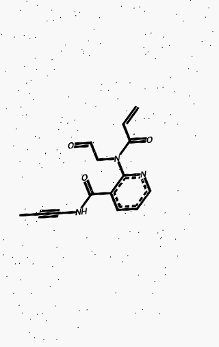 C=CC(=O)N(C[C]=O)c1ncccc1C(=O)NC#CC